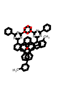 Cc1cccc(-c2ccc3c(c2)c2ccccc2n3-c2cccc(-c3nc(-c4ccccc4)nc(-c4ccccc4)n3)c2-c2cccc(-c3c(-c4nc(-c5ccccc5)nc(-c5ccccc5)n4)cccc3-n3c4ccccc4c4cc(-c5cccc(C)c5)ccc43)c2)c1